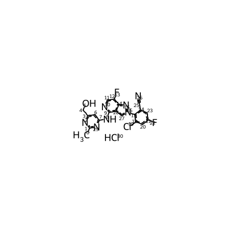 Cc1nc(CO)cc(Nc2ncc(F)c3nn(-c4c(Cl)cc(F)cc4C#N)cc23)n1.Cl